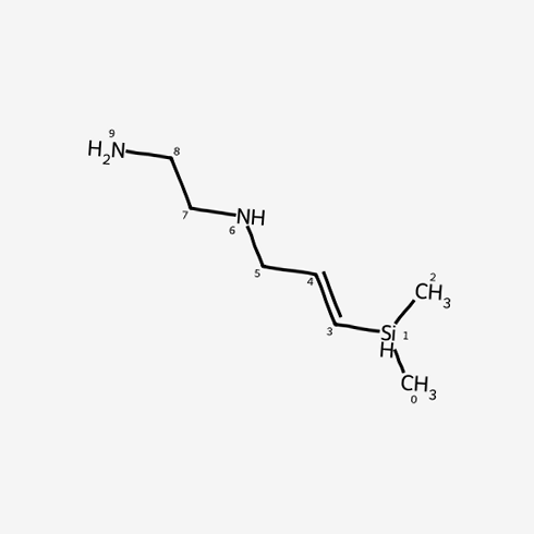 C[SiH](C)C=CCNCCN